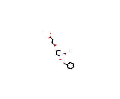 COC(=O)/C=C/C(=O)O[C@@H]1C[C@@H](C(=O)OCc2ccccc2)N(C(C)=O)C1